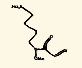 C=CC(=O)N(CCCCS(=O)(=O)O)OC